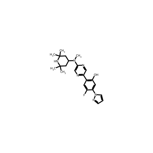 CN(c1cnc(-c2cc(F)c(-n3cccn3)cc2O)cn1)C1CC(C)(C)NC(C)(C)C1